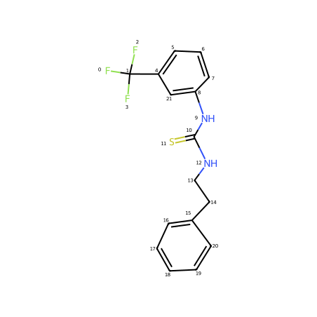 FC(F)(F)c1cccc(NC(=S)NCCc2ccccc2)c1